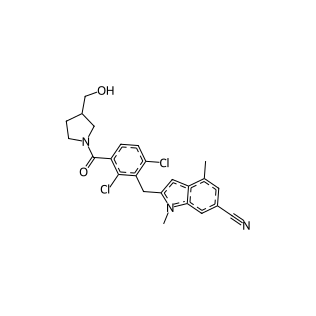 Cc1cc(C#N)cc2c1cc(Cc1c(Cl)ccc(C(=O)N3CCC(CO)C3)c1Cl)n2C